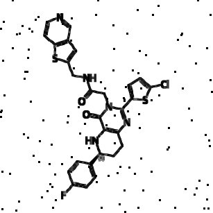 O=C(Cn1c(-c2ccc(Cl)s2)nc2c(c1=O)N[C@H](c1ccc(F)cc1)CC2)NCc1cc2cnccc2s1